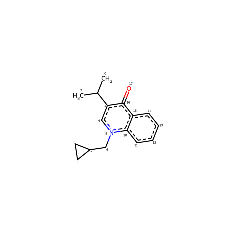 CC(C)c1cn(CC2CC2)c2ccccc2c1=O